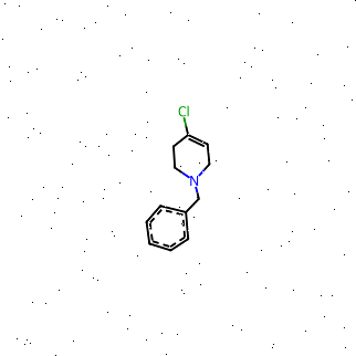 ClC1=CCN(Cc2ccccc2)CC1